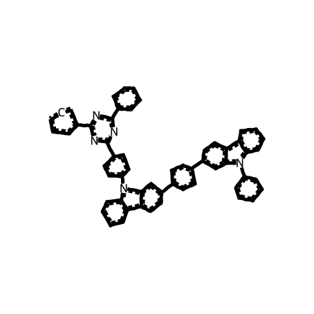 c1ccc(-c2nc(-c3ccccc3)nc(-c3ccc(-n4c5ccccc5c5ccc(-c6ccc(-c7ccc8c9ccccc9n(-c9ccccc9)c8c7)cc6)cc54)cc3)n2)cc1